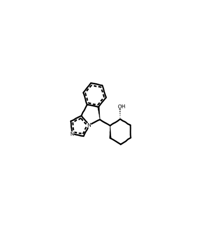 O[C@@H]1CCCC[C@H]1[C@@H]1c2ccccc2-c2cncn21